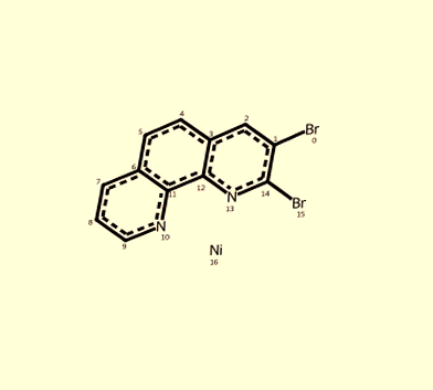 Brc1cc2ccc3cccnc3c2nc1Br.[Ni]